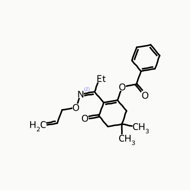 C=CCO/N=C(/CC)C1=C(OC(=O)c2ccccc2)CC(C)(C)CC1=O